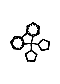 c1ccc2c(c1)-c1ccccc1C2(C1CCCC1)C1CCCC1